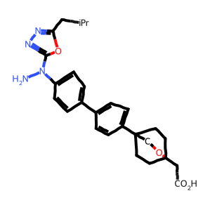 CC(C)Cc1nnc(N(N)c2ccc(-c3ccc(C45CCC(CC(=O)O)(CC4)OC5)cc3)cc2)o1